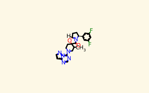 CC1CN(c2ncnc3ccnn23)CCC12O[C@@H]1CC[C@@H](c3cc(F)cc(F)c3)N1C2=O